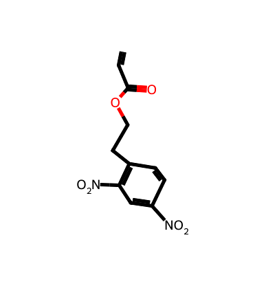 C=CC(=O)OCCc1ccc([N+](=O)[O-])cc1[N+](=O)[O-]